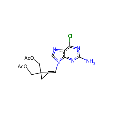 CC(=O)OCC1(COC(C)=O)C/C1=C/n1cnc2c(Cl)nc(N)nc21